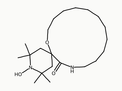 CC1(C)CC2(CC(C)(C)N1O)OCCCCCCCCCCCNC2=O